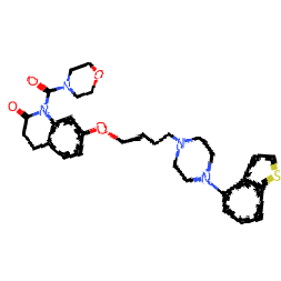 O=C1CCc2ccc(OCCCCN3CCN(c4cccc5sccc45)CC3)cc2N1C(=O)N1CCOCC1